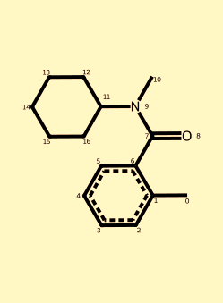 Cc1ccccc1C(=O)N(C)C1CCCCC1